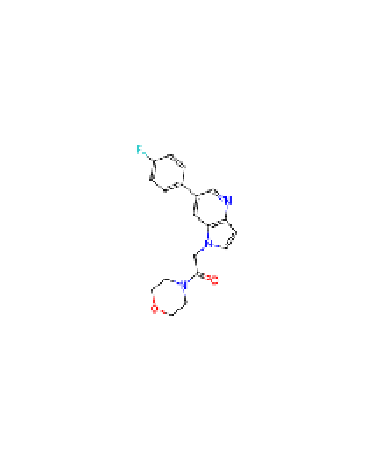 O=C(Cn1ccc2ncc(-c3ccc(F)cc3)cc21)N1CCOCC1